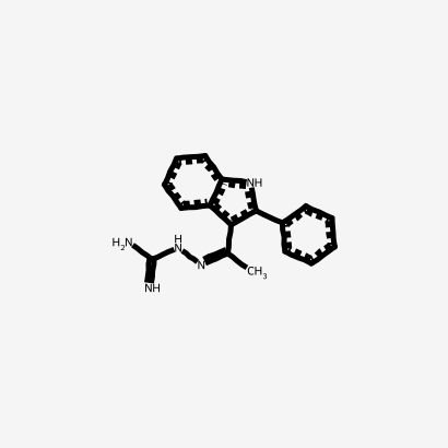 C/C(=N/NC(=N)N)c1c(-c2ccccc2)[nH]c2ccccc12